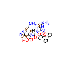 NCCSCc1nnsc1SC1=C(C(=O)O)N2C(=O)[C@@H](NC(=O)/C(=N\OOC(c3ccccc3)(c3ccccc3)c3ccccc3)c3csc(N)n3)[C@H]2SC1